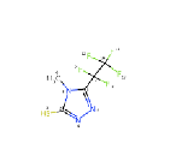 Cn1c(S)nnc1C(F)(F)C(F)(F)F